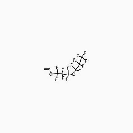 C=COC(F)(F)C(F)(F)C(F)(F)OC(F)(F)C(F)(F)C(F)(F)F